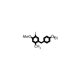 CCOc1ccc(Cc2cc(I)c(OC)cc2C)cc1